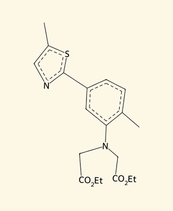 CCOC(=O)CN(CC(=O)OCC)c1cc(-c2ncc(C)s2)ccc1C